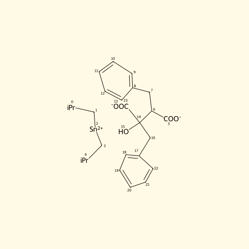 CC(C)[CH2][Sn+2][CH2]C(C)C.O=C([O-])C(Cc1ccccc1)C(O)(Cc1ccccc1)C(=O)[O-]